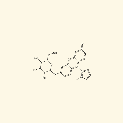 Cn1ccnc1-c1c2ccc(=O)cc-2oc2cc(OC3OC(CO)C(O)C(O)C3O)ccc12